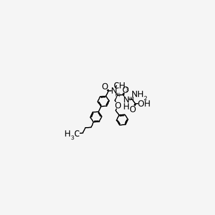 CCCCc1ccc(-c2ccc(C(=O)N(C)[C@H](COCc3ccccc3)C(=O)N[C@H](N)C(=O)O)cc2)cc1